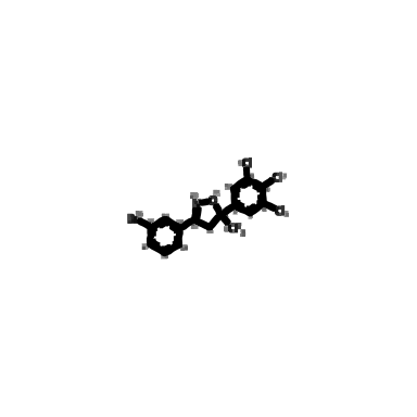 FC(F)(F)C1(c2cc(Cl)c(Cl)c(Cl)c2)CC(c2[c]c(Br)ccc2)=NO1